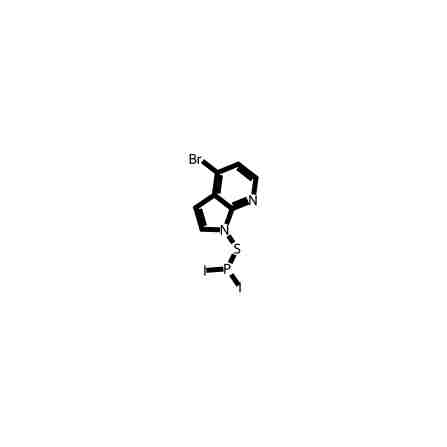 Brc1ccnc2c1ccn2SP(I)I